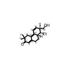 CC[C@H]1[C@@H]2CCC3=CC(=O)C(C)(C)CC3=C2C=C[C@]1(C)CO